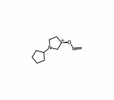 C=NO[C@@H]1CCN(C2CCCC2)C1